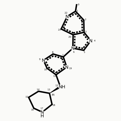 Cc1cc2ncn(-c3cncc(N[C@@H]4CCCNC4)n3)c2cn1